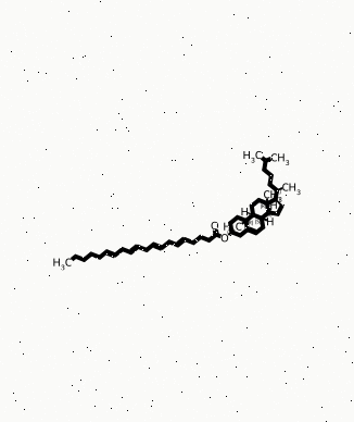 CCCCCC=CCC=CCC=CCC=CCCCC(=O)O[C@H]1CC[C@@]2(C)C(=CC[C@H]3[C@@H]4CC[C@H]([C@H](C)CCCC(C)C)[C@@]4(C)CC[C@@H]32)C1